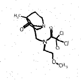 COCCN(CC1C(=O)C2(C)CCN1CC2)C(=O)C(Cl)(Cl)Cl